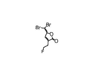 O=C1OC(=C(Br)Br)C=C1CCF